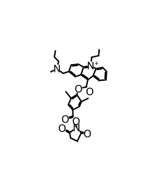 CCCN(C)Cc1ccc2c(c1)c(C(=O)Oc1c(C)cc(C(=O)ON3C(=O)CCC3=O)cc1C)c1ccccc1[n+]2CCC